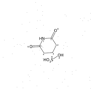 O=C1CCCC(=O)N1.O=S(=O)(O)O